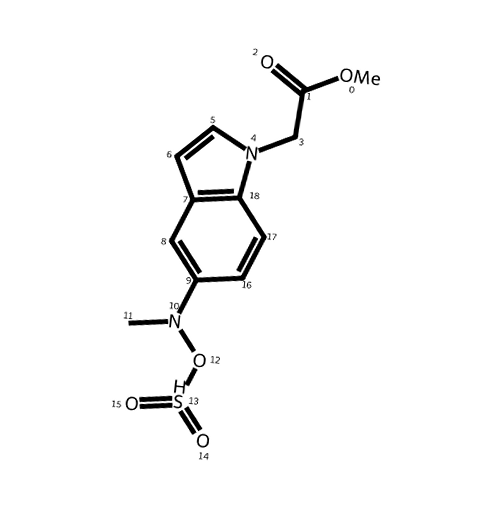 COC(=O)Cn1ccc2cc(N(C)O[SH](=O)=O)ccc21